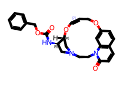 O=C(N[C@@H]1CN2CCn3c(=O)ccc4ccc(cc43)OC/C=C\O[C@@H]1C2)OCc1ccccc1